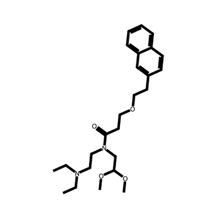 CCN(CC)CCN(CC(OC)OC)C(=O)CCOCCc1ccc2ccccc2c1